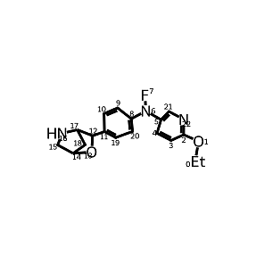 CCOc1ccc(N(F)c2ccc(C3OC4CNC3C4)cc2)cn1